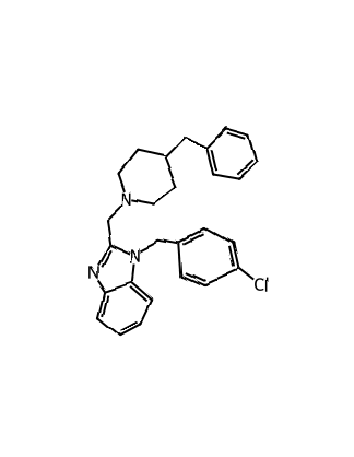 Clc1ccc(Cn2c(CN3CCC(Cc4ccccc4)CC3)nc3ccccc32)cc1